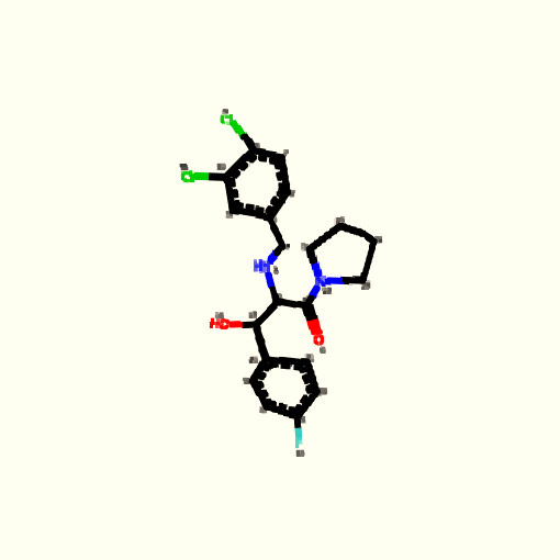 O=C(C(NCc1ccc(Cl)c(Cl)c1)C(O)c1ccc(F)cc1)N1CCCC1